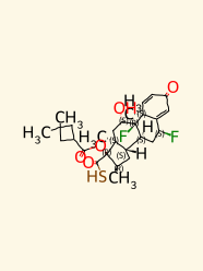 C[C@@H]1C[C@H]2[C@@H]3C[C@H](F)C4=CC(=O)C=C[C@]4(C)[C@@]3(F)[C@@H](O)C[C@]2(C)[C@@]1(OC(=O)C1CC(C)(C)C1)C(=O)S